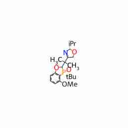 COc1cccc2c1[P@](=O)(C(C)(C)C)C(C(C)(C)C1=N[C@H](C(C)C)OC1)O2